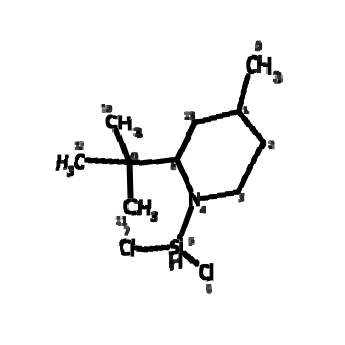 CC1CCN([SiH](Cl)Cl)C(C(C)(C)C)C1